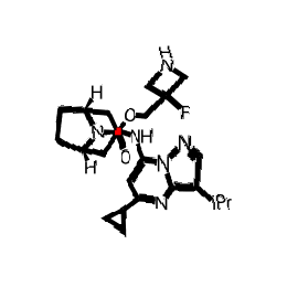 CC(C)c1cnn2c(NC3C[C@H]4CC[C@@H](C3)N4C(=O)OCC3(F)CNC3)cc(C3CC3)nc12